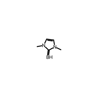 B=C1N(C)C=CN1C